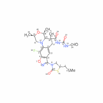 CSCC1CN(c2noc3c(F)c4c(cc23)CC(C)(C(=O)NC(=O)NC=O)C2[C@H](C)O[C@H](C)CN42)C(=O)S1